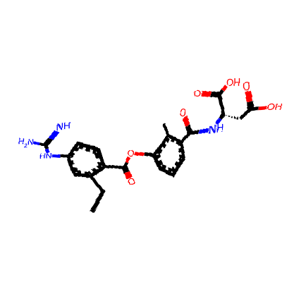 CCc1cc(NC(=N)N)ccc1C(=O)Oc1cccc(C(=O)N[C@@H](CC(=O)O)C(=O)O)c1C